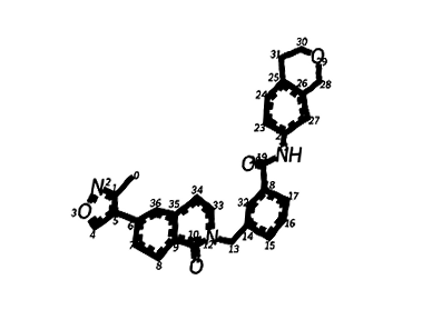 Cc1nocc1-c1ccc2c(=O)n(Cc3cccc(C(=O)Nc4ccc5c(c4)COCC5)c3)ccc2c1